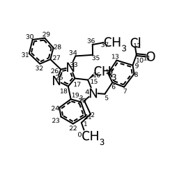 CCCCN(Cc1ccc(C(=O)Cl)cc1)[C@H](C)c1c(-c2ccccc2)nc(-c2ccccc2)n1CCCC